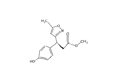 COC(=O)C[C@@H](c1ccc(O)cc1)c1cc(C)on1